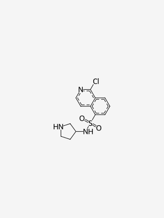 O=S(=O)(NC1CCNC1)c1cccc2c(Cl)nccc12